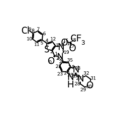 O=C1c2sc(-c3ccc(Cl)cc3)cc2N(OC(=O)C(F)(F)F)CN1c1ccc2[nH]c(N3CCOCC3)nc2c1